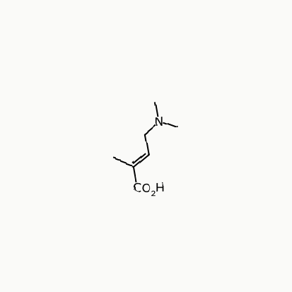 C/C(=C\CN(C)C)C(=O)O